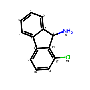 NC1c2ccccc2-c2cccc(Cl)c21